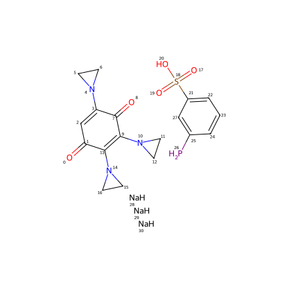 O=C1C=C(N2CC2)C(=O)C(N2CC2)=C1N1CC1.O=S(=O)(O)c1cccc(P)c1.[NaH].[NaH].[NaH]